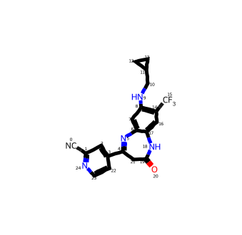 N#Cc1cc(C2=Nc3cc(NCC4CC4)c(C(F)(F)F)cc3NC(=O)C2)ccn1